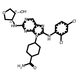 NC(=O)C1CCC(n2c(Nc3ccc(Cl)cc3Cl)nc3cnc(N[C@H]4COC[C@@H]4O)nc32)CC1